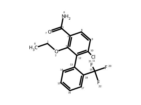 CCOc1c(C(N)=O)ccc(Cl)c1-c1ccccc1C(F)(F)F